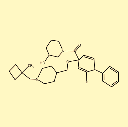 O=C(N1CCCC(O)C1)C1(OCC2CCN(CC3(C(F)(F)F)CCC3)CC2)C=CC(c2ccccc2)C(F)=C1